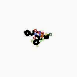 O=C1OCC(Cc2ccccc2)N1C(=O)[C@@H](NS(=O)(=O)c1ccc(Cl)s1)[C@@H](c1cc(F)cc(F)c1)C(F)(F)F